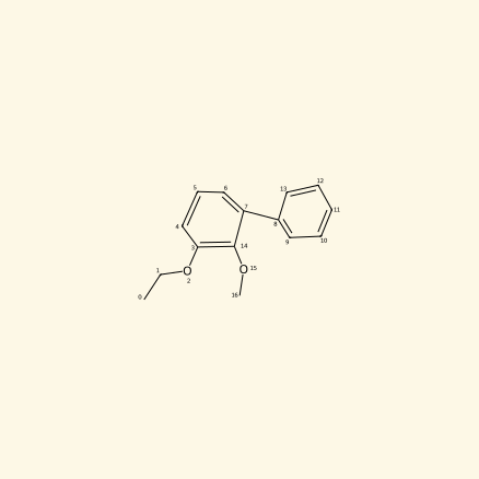 CCOc1cccc(-c2ccccc2)c1OC